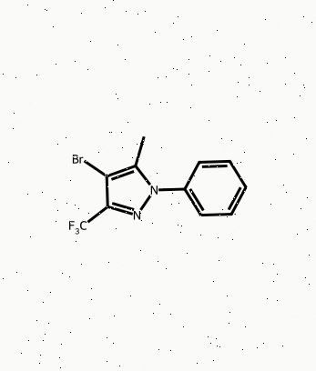 Cc1c(Br)c(C(F)(F)F)nn1-c1c[c]ccc1